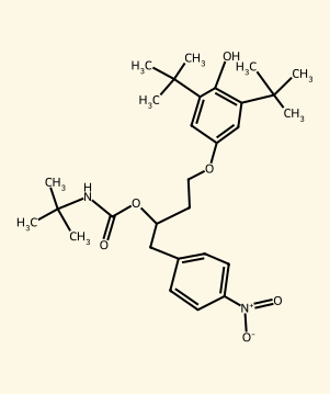 CC(C)(C)NC(=O)OC(CCOc1cc(C(C)(C)C)c(O)c(C(C)(C)C)c1)Cc1ccc([N+](=O)[O-])cc1